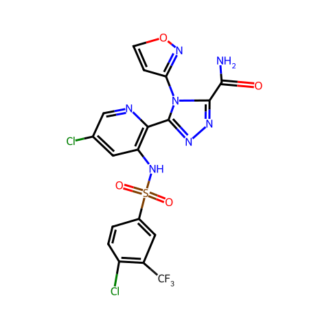 NC(=O)c1nnc(-c2ncc(Cl)cc2NS(=O)(=O)c2ccc(Cl)c(C(F)(F)F)c2)n1-c1ccon1